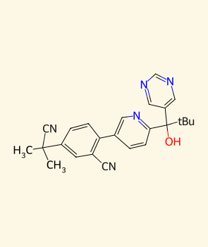 CC(C)(C#N)c1ccc(-c2ccc(C(O)(c3cncnc3)C(C)(C)C)nc2)c(C#N)c1